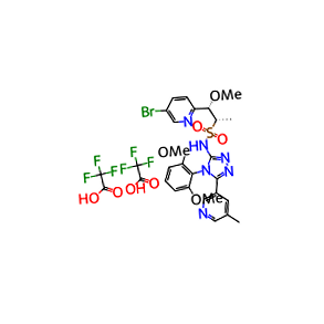 COc1cccc(OC)c1-n1c(NS(=O)(=O)[C@@H](C)[C@@H](OC)c2ccc(Br)cn2)nnc1-c1cncc(C)c1.O=C(O)C(F)(F)F.O=C(O)C(F)(F)F